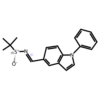 CC(C)(C)[S@@+]([O-])/N=C/c1ccc2c(ccn2-c2ccccc2)c1